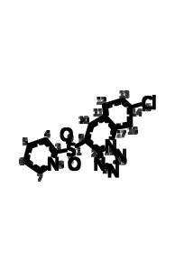 O=S(=O)(c1ccccn1)c1cc2ccc(Cl)cc2n2nnnc12